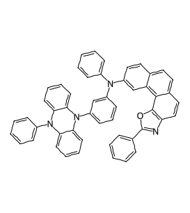 c1ccc(-c2nc3ccc4ccc5ccc(N(c6ccccc6)c6cccc(N7c8ccccc8N(c8ccccc8)c8ccccc87)c6)cc5c4c3o2)cc1